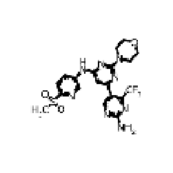 CS(=O)(=O)c1ccc(Nc2cc(-c3cnc(N)nc3C(F)(F)F)nc(N3CCOCC3)n2)cn1